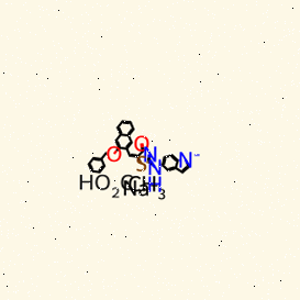 CC(=O)O.O=C1N=C(Nc2ccc3[n-]ccc3c2)SC1=Cc1cc2ccccc2cc1OCc1ccccc1.[Na+]